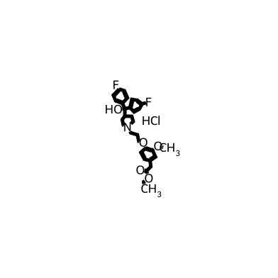 CCOC(=O)Cc1ccc(OCCCN2CCC(C(O)(c3ccc(F)cc3)c3ccc(F)cc3)CC2)c(OC)c1.Cl